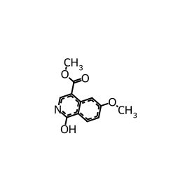 COC(=O)c1cnc(O)c2ccc(OC)cc12